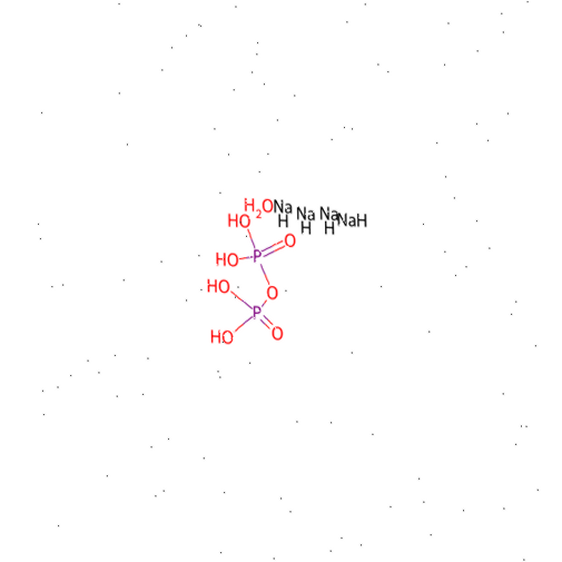 O.O=P(O)(O)OP(=O)(O)O.[NaH].[NaH].[NaH].[NaH]